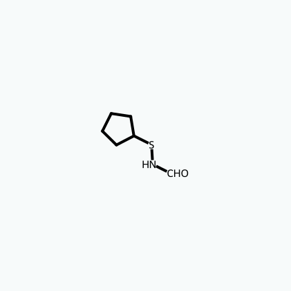 O=CNSC1CCCC1